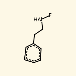 [F][AlH][CH2]Cc1ccccc1